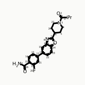 CC(C)C(=O)N1CCC(c2nc3cc(-c4ccc(C(N)=O)c(F)c4)ccc3o2)CC1